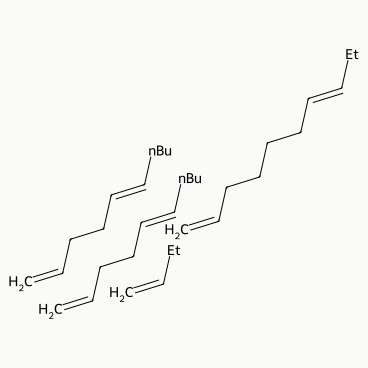 C=CCC.C=CCCC=CCCCC.C=CCCC=CCCCC.C=CCCCCC=CCC